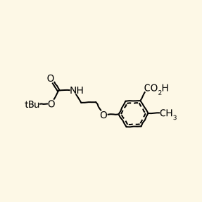 Cc1ccc(OCCNC(=O)OC(C)(C)C)cc1C(=O)O